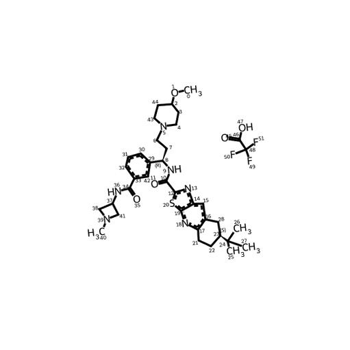 COC1CCN(CC[C@@H](NC(=O)c2nc3cc4c(nc3s2)CC[C@H](C(C)(C)C)C4)c2cccc(C(=O)NC3CN(C)C3)c2)CC1.O=C(O)C(F)(F)F